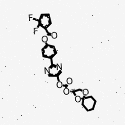 O=C(Oc1cnc(-c2ccc(OC(=O)c3cccc(F)c3F)cc2)nc1)O[C@@H]1COC2(CCCCC2)O1